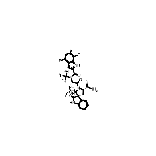 [2H]C([2H])([2H])N(C(=O)c1cc2c(F)cc(F)c(F)c2[nH]1)[C@@H](CC(C)C)C(=O)N1[C@H](C(N)=O)C[C@]2(C(=O)Nc3ccccc32)C1([2H])[2H]